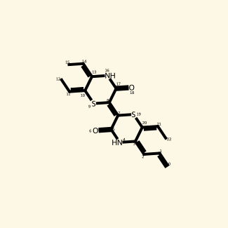 C=C/C=C1/NC(=O)/C(=C2\SC(=C/C)/C(=C\C)NC2=O)S/C1=C/C